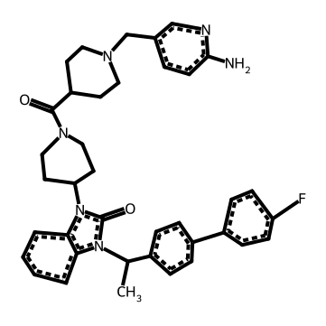 CC(c1ccc(-c2ccc(F)cc2)cc1)n1c(=O)n(C2CCN(C(=O)C3CCN(Cc4ccc(N)nc4)CC3)CC2)c2ccccc21